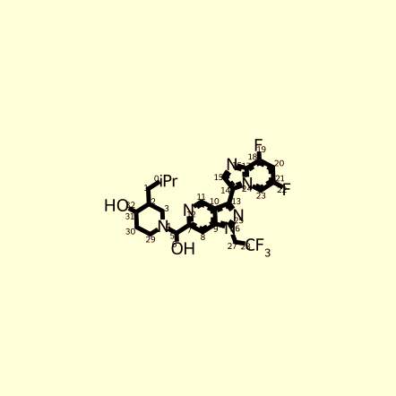 CC(C)CC1CN(C(O)c2cc3c(cn2)c(-c2cnc4c(F)cc(F)cn24)nn3CC(F)(F)F)CCC1O